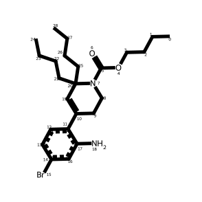 CCCCOC(=O)N1CCC(c2ccc(Br)cc2N)=CC1(CCCC)CCCC